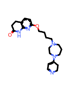 O=C1CCc2ccc(OCCCCN3CCCN(C4=CC=NCC4)CC3)nc2N1